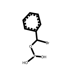 OP(O)OC(Br)c1ccccc1